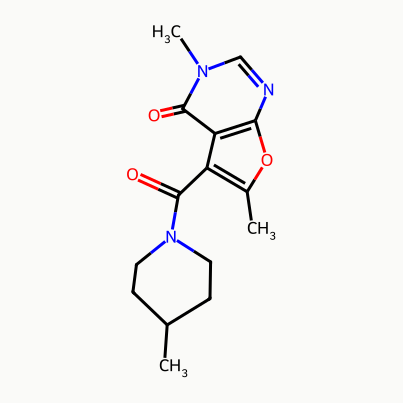 Cc1oc2ncn(C)c(=O)c2c1C(=O)N1CCC(C)CC1